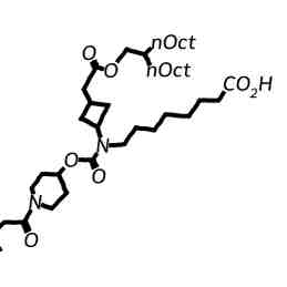 CCCCCCCCC(CCCCCCCC)COC(=O)CC1CC(N(CCCCCCCC(=O)O)C(=O)OC2CCN(C(=O)CN(C)C)CC2)C1